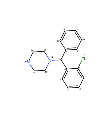 Clc1ccccc1C(c1ccccc1)N1CC[N]CC1